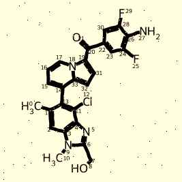 Cc1cc2c(nc(CO)n2C)c(Cl)c1-c1cccn2c(C(=O)c3cc(F)c(N)c(F)c3)ccc12